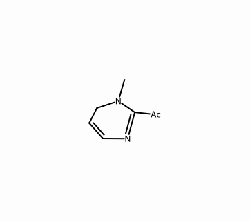 CC(=O)C1=NC=CCN1C